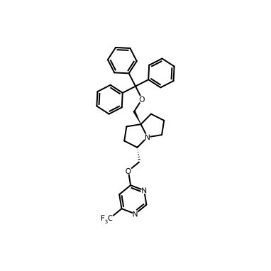 FC(F)(F)c1cc(OC[C@@H]2CC[C@]3(COC(c4ccccc4)(c4ccccc4)c4ccccc4)CCCN23)ncn1